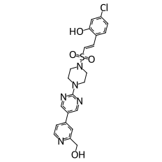 O=S(=O)(/C=C/c1ccc(Cl)cc1O)N1CCN(c2ncc(-c3ccnc(CO)c3)cn2)CC1